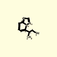 CC(CS)c1cccc2ncnn12